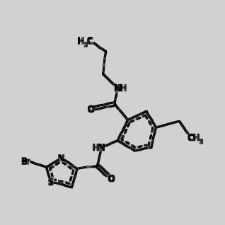 CCCNC(=O)c1cc(CC)ccc1NC(=O)c1csc(Br)n1